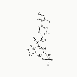 Cn1cncc1-c1ccc(NC(=O)C(NC(=O)OC(C)(C)C)C2CCCC2)cc1